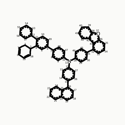 C1=CCC(c2cc(-c3ccc(N(c4ccc(-c5cccc6ccccc56)cc4)c4ccc(-c5cccc6oc7ccccc7c56)cc4)cc3)ccc2-c2ccccc2)C=C1